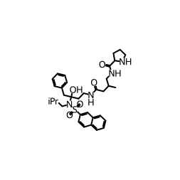 CC(C)CN(C(O)(CCNC(=O)CC(C)CNC(=O)C1CCCN1)Cc1ccccc1)S(=O)(=O)c1ccc2ccccc2c1